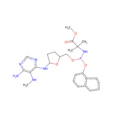 CNc1c(N)ncnc1NC1CCC(COP(NC(C)(C)C(=O)OC)Oc2cccc3ccccc23)O1